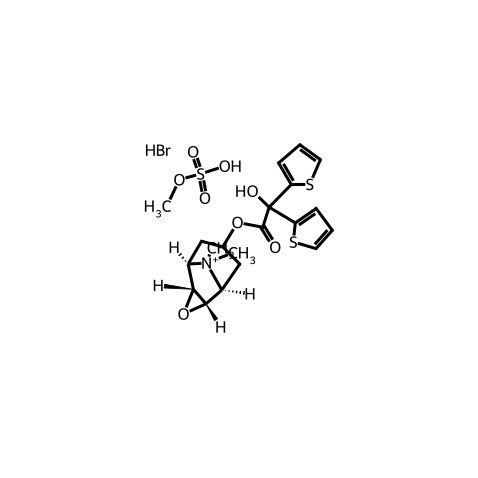 Br.COS(=O)(=O)O.C[N+]1(C)[C@@H]2CC(OC(=O)C(O)(c3cccs3)c3cccs3)C[C@H]1[C@@H]1O[C@@H]12